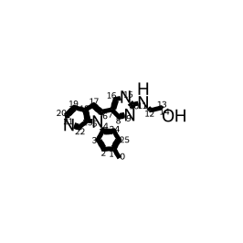 Cc1ccc(-n2c(-c3cnc(NCCO)nc3)cc3ccncc32)cc1